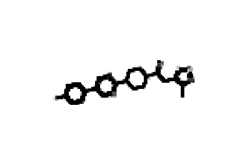 Cc1nonc1CC(=O)N1CCC(c2ncc(-c3ccc(F)cc3)cn2)CC1